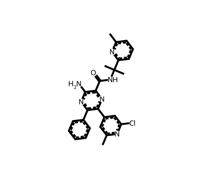 Cc1cc(-c2nc(C(=O)NC(C)(C)c3cccc(C)n3)c(N)nc2-c2ccccc2)cc(Cl)n1